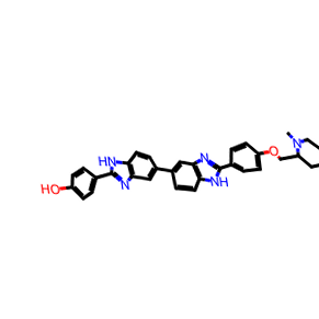 CN1CCCCC1COc1ccc(-c2nc3cc(-c4ccc5[nH]c(-c6ccc(O)cc6)nc5c4)ccc3[nH]2)cc1